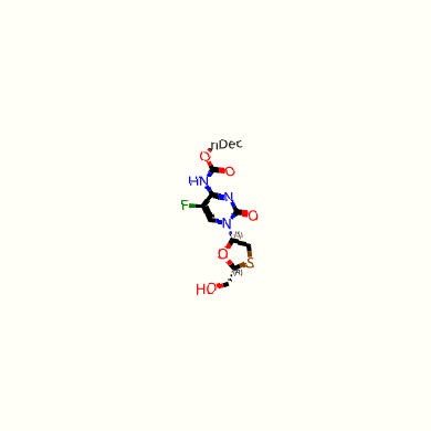 CCCCCCCCCCOC(=O)Nc1nc(=O)n([C@@H]2CS[C@H](CO)O2)cc1F